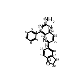 Nc1nc(-c2ccccc2)c2nc(-c3ccc4c(c3)CCO4)ccc2n1